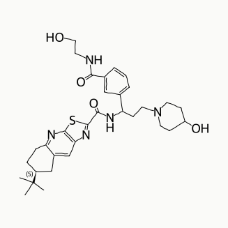 CC(C)(C)[C@H]1CCc2nc3sc(C(=O)NC(CCN4CCC(O)CC4)c4cccc(C(=O)NCCO)c4)nc3cc2C1